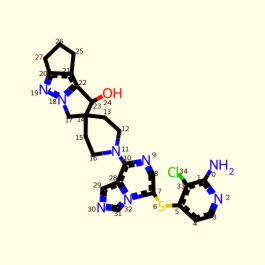 Nc1nccc(Sc2cnc(N3CCC4(CC3)Cn3nc5c(c3C4O)CCC5)c3cncn23)c1Cl